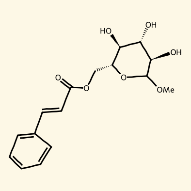 COC1O[C@H](COC(=O)C=Cc2ccccc2)[C@@H](O)[C@H](O)[C@H]1O